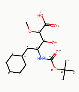 COC(C(=O)O)C(O)C(CC1CCCCC1)NC(=O)OC(C)(C)C